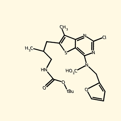 Cc1c(CC(C)CNC(=O)OC(C)(C)C)sc2c(N(Cc3ccco3)C(=O)O)nc(Cl)nc12